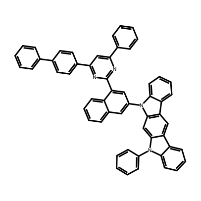 c1ccc(-c2ccc(-c3cc(-c4ccccc4)nc(-c4cc(-n5c6ccccc6c6cc7c8ccccc8n(-c8ccccc8)c7cc65)cc5ccccc45)n3)cc2)cc1